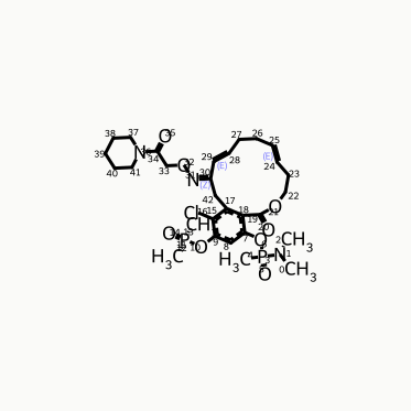 CN(C)P(C)(=O)Oc1cc(OP(C)(C)=O)c(Cl)c2c1C(=O)OCC/C=C/CC/C=C/C(=N\OCC(=O)N1CCCCC1)C2